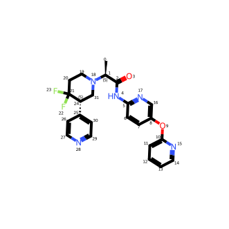 C[C@@H](C(=O)Nc1ccc(Oc2ccccn2)cn1)N1CCC(F)(F)[C@@H](c2ccncc2)C1